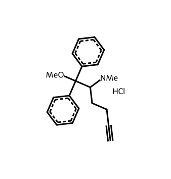 C#CCCC(NC)C(OC)(c1ccccc1)c1ccccc1.Cl